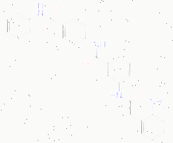 Nc1ccccc1CC(=O)Nc1cccc(C(=O)Nc2ccc(S(=O)(=O)Nc3ccccc3)cc2)c1